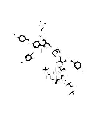 COc1ccc(COC(=O)C2=C(C[N+]34CCC(CNC(=O)c5cn(COCC[Si](C)(C)C)c6cc(OCc7ccc(OC)cc7)c(OCc7ccc(OC)cc7)c(Cl)c6c5=O)(CC3)C4)[C@H](C)S[C@@H]3[C@H](NC(=O)/C(=N\OC(C)(C)C(=O)OC(C)(C)C)c4csc(NC(=O)OC(C)(C)C)n4)C(=O)N23)cc1